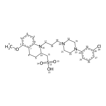 COc1cccc2c1CCC(CS(=O)(=O)O)N2CCCN1CCN(c2cccc(Cl)c2)CC1